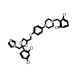 Clc1ccc(C2(Cn3ccnc3)OCC(COc3ccc(N4CCN(Cc5c(Cl)cccc5Cl)CC4)cc3)O2)c(Cl)c1